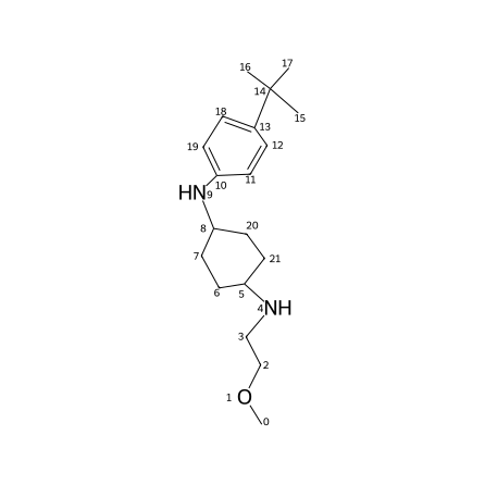 COCCNC1CCC(Nc2ccc(C(C)(C)C)cc2)CC1